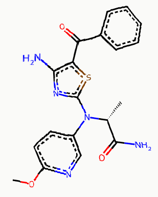 COc1ccc(N(c2nc(N)c(C(=O)c3ccccc3)s2)[C@H](C)C(N)=O)cn1